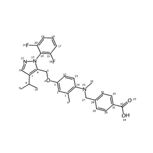 Cc1cc(OCc2c(C(C)C)cnn2-c2c(F)cccc2F)ccc1N(C)Cc1ccc(C(=O)O)cc1